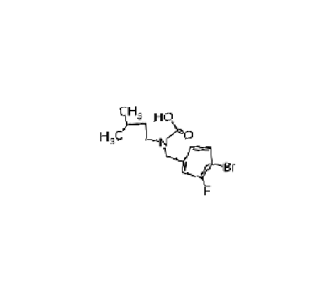 CC(C)CCN(Cc1ccc(Br)c(F)c1)C(=O)O